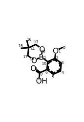 COc1cccc(C(=O)O)c1B1OCC(C)(C)CO1